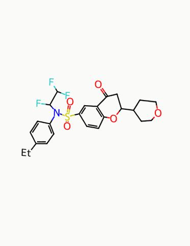 CCc1ccc(N(C(F)C(F)F)S(=O)(=O)c2ccc3c(c2)C(=O)CC(C2CCOCC2)O3)cc1